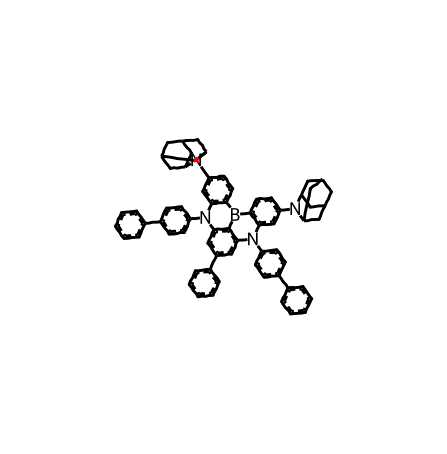 c1ccc(-c2ccc(N3c4cc(N5C6CC7CC(C6)CC5C7)ccc4B4c5ccc(N6C7CC8CC(C7)CC6C8)cc5N(c5ccc(-c6ccccc6)cc5)c5cc(-c6ccccc6)cc3c54)cc2)cc1